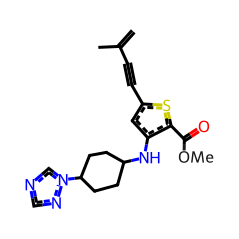 C=C(C)C#Cc1cc(NC2CCC(n3cncn3)CC2)c(C(=O)OC)s1